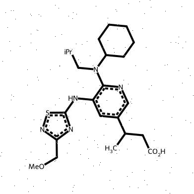 COCc1nsc(Nc2cc(C(C)CC(=O)O)cnc2N(CC(C)C)C2CCCCC2)n1